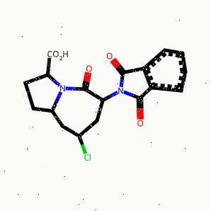 O=C(O)C1CCC2CC(Cl)CC(N3C(=O)c4ccccc4C3=O)C(=O)N21